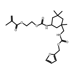 C=C(C)C(=O)OCCOC(=O)NC1CC(C)(C)CC(C)(CNC(=O)OCc2ccco2)C1